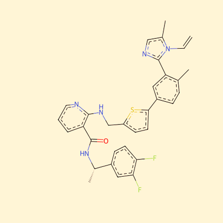 C=Cn1c(C)cnc1-c1cc(-c2ccc(CNc3ncccc3C(=O)N[C@@H](C)c3ccc(F)c(F)c3)s2)ccc1C